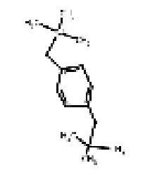 CC(C)(C)Cc1ccc(C[N+](C)(C)C)cc1